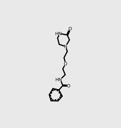 O=C1CN(CCOCCNC(=O)c2ccccc2)CCN1